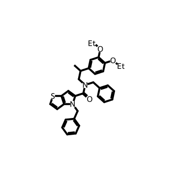 CCOc1ccc(C(C)CN(Cc2ccccc2)C(=O)c2cc3sccc3n2Cc2ccccc2)cc1OCC